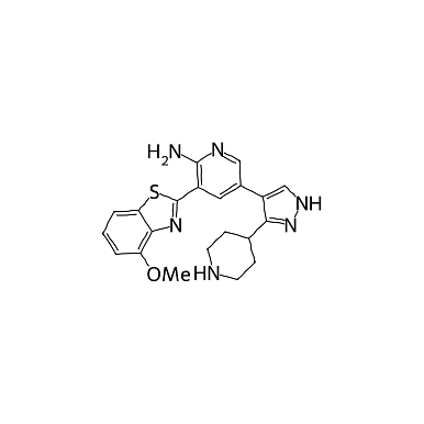 COc1cccc2sc(-c3cc(-c4c[nH]nc4C4CCNCC4)cnc3N)nc12